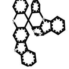 c1ccc2c(c1)Sc1cc3sc4ccccc4c3cc1C21c2ccccc2-n2c3ccccc3c3cccc1c32